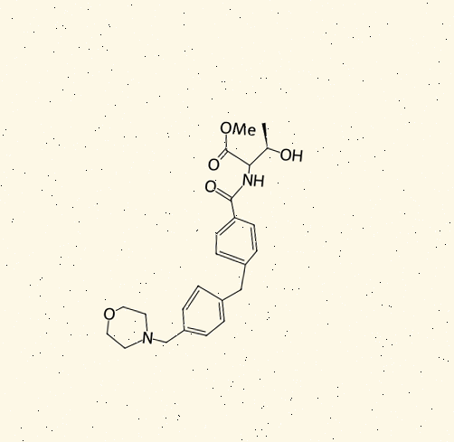 COC(=O)C(NC(=O)c1ccc(Cc2ccc(CN3CCOCC3)cc2)cc1)[C@@H](C)O